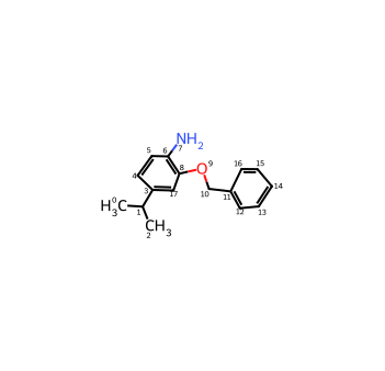 CC(C)c1ccc(N)c(OCc2ccccc2)c1